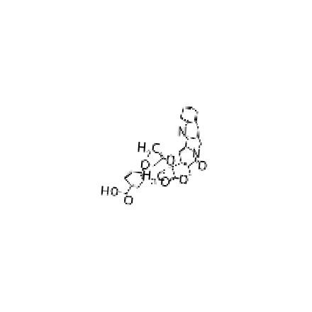 C=C(COc1ccc(C(=O)O)cc1)O[C@]1(CC)C(=O)OCc2c1cc1n(c2=O)Cc2cc3ccccc3nc2-1